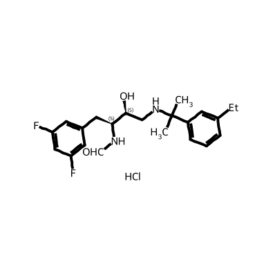 CCc1cccc(C(C)(C)NC[C@H](O)[C@H](Cc2cc(F)cc(F)c2)NC=O)c1.Cl